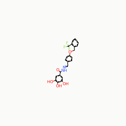 O=C(N/N=C/c1ccc(OCc2ccccc2C(F)(F)F)cc1)c1cc(O)c(O)c(O)c1